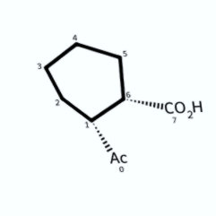 CC(=O)[C@@H]1CCCC[C@@H]1C(=O)O